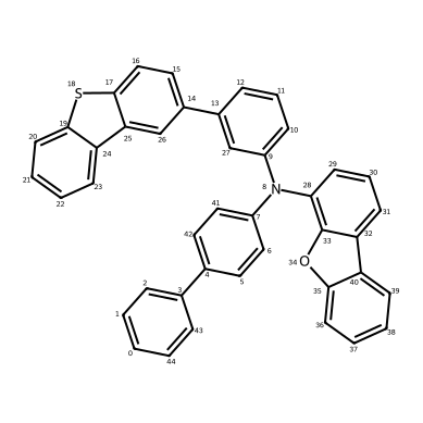 c1ccc(-c2ccc(N(c3cccc(-c4ccc5sc6ccccc6c5c4)c3)c3cccc4c3oc3ccccc34)cc2)cc1